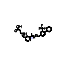 C/C(=N\OCc1ccc(C2CCCCC2)c(C(F)(F)F)c1)c1cc(CNCCC(=O)O)ccn1